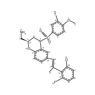 COc1ccc(S(=O)(=O)N2C[C@H](CN)Oc3ccc(/C=C(\C)c4c(F)cccc4Cl)cc32)cc1F